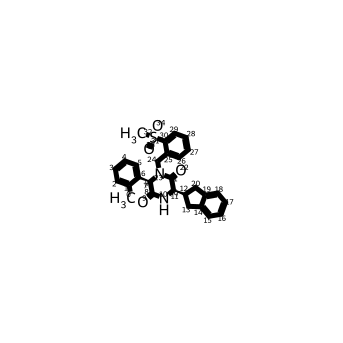 Cc1ccccc1[C@@H]1C(=O)N[C@H](C2Cc3ccccc3C2)C(=O)N1Cc1ccccc1S(C)(=O)=O